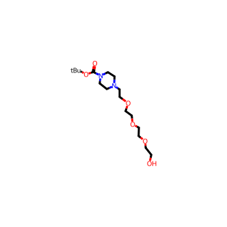 CC(C)(C)OC(=O)N1CCN(CCOCCOCCOCCO)CC1